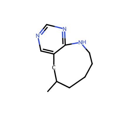 CC1CCCCNc2ncncc2C1